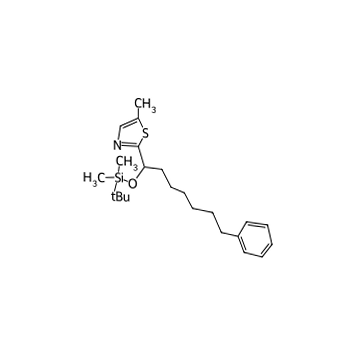 Cc1cnc(C(CCCCCCc2ccccc2)O[Si](C)(C)C(C)(C)C)s1